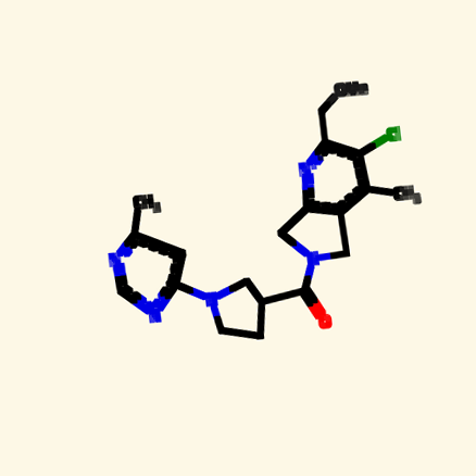 COCc1nc2c(c(C)c1Cl)CN(C(=O)C1CCN(c3cc(C)ncn3)C1)C2